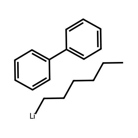 [Li][CH2]CCCCC.c1ccc(-c2ccccc2)cc1